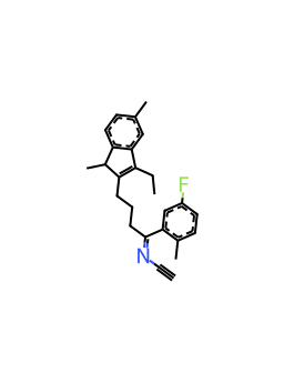 C#C/N=C(/CCCC1=C(CC)c2cc(C)ccc2C1C)c1cc(F)ccc1C